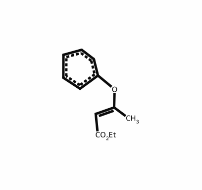 CCOC(=O)C=C(C)Oc1ccccc1